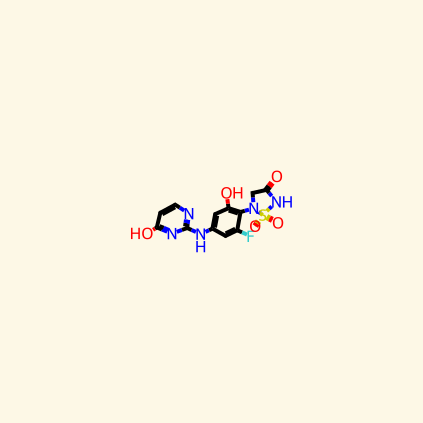 O=C1CN(c2c(O)cc(Nc3nccc(O)n3)cc2F)S(=O)(=O)N1